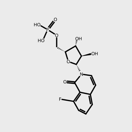 O=c1c2c(F)cccc2ccn1[C@@H]1O[C@H](COP(=O)(O)O)[C@H](O)[C@H]1O